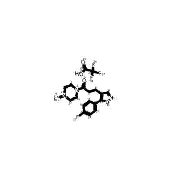 CCN1CCN(C(=O)CCc2cnoc2-c2ccc(F)cc2)CC1.O=C(O)C(F)(F)F